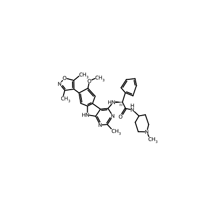 COc1cc2c(cc1-c1c(C)noc1C)[nH]c1nc(C)nc(N[C@H](C(=O)NC3CCN(C)CC3)c3ccccc3)c12